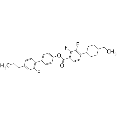 CCCc1ccc(-c2ccc(OC(=O)c3ccc(C4CCC(CC)CC4)c(F)c3F)cc2)c(F)c1